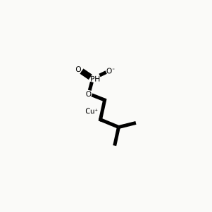 CC(C)CCO[PH](=O)[O-].[Cu+]